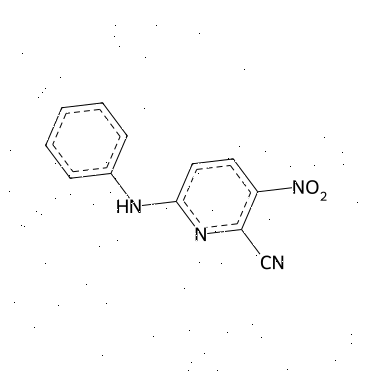 N#Cc1nc(Nc2ccccc2)ccc1[N+](=O)[O-]